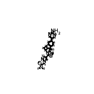 CN(C)C(=O)Cn1cc(-c2nc([C@@](C)(c3ccc(-c4cnc(N)nc4)cc3)C3CCC3)no2)cn1